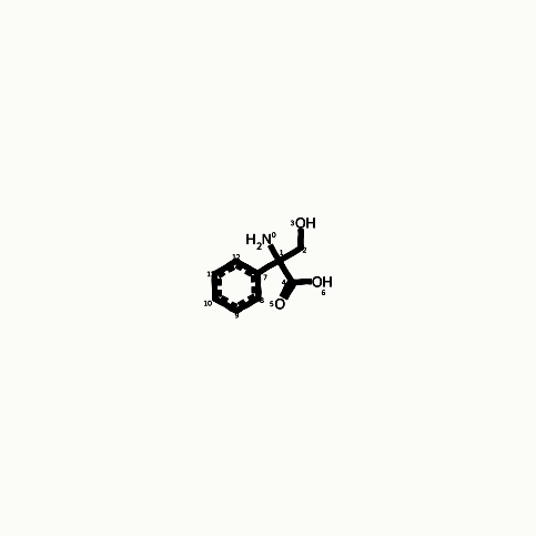 NC(CO)(C(=O)O)c1ccccc1